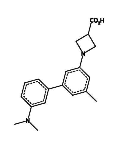 Cc1cc(-c2cccc(N(C)C)c2)cc(N2CC(C(=O)O)C2)c1